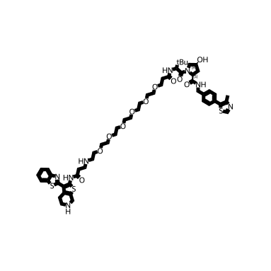 Cc1ncsc1-c1ccc(CNC(=O)[C@@H]2C[C@@H](O)CN2C(=O)C(NC(=O)CCOCCOCCOCCOCCOCCOCCNCCC(=O)Nc2sc3c(c2-c2nc4ccccc4s2)CCNC3)C(C)(C)C)cc1